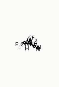 FC(F)(F)COc1nc(NCc2ccc(-c3cncnc3)cc2)nc(Nc2cccc(C(F)(F)F)c2)n1